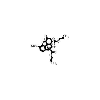 C=CCOC(=O)O[C@@]12CCC(=O)[C@@H]3Oc4c(OC)ccc5c4[C@@]31CCN(C(=O)OCC=C)[C@@H]2C5